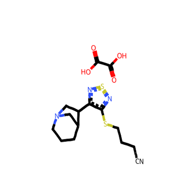 N#CCCCSc1nsnc1C1CN2CCCC1C2.O=C(O)C(=O)O